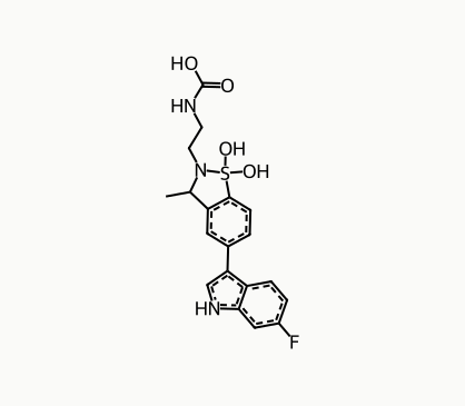 CC1c2cc(-c3c[nH]c4cc(F)ccc34)ccc2S(O)(O)N1CCNC(=O)O